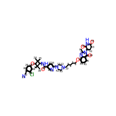 Cc1nc2c(OCCCCCN3CCN(c4ccc(C(=O)NC5C(C)(C)C(Oc6ccc(C#N)c(Cl)c6)C5(C)C)cn4)CC3)cccc2c(=O)n1[C@@H]1CCC(=O)NC1=O